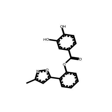 Cc1cc(-c2ccccc2OC(=O)c2ccc(O)c(O)c2)on1